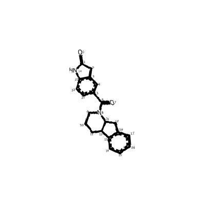 O=C1Cc2cc(C(=O)N3CCCC4c5ccccc5CC43)ccc2N1